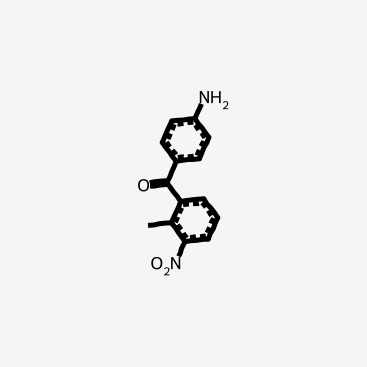 Cc1c(C(=O)c2ccc(N)cc2)cccc1[N+](=O)[O-]